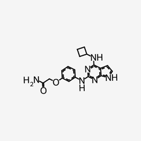 NC(=O)COc1cccc(Nc2nc(NC3CCC3)c3cc[nH]c3n2)c1